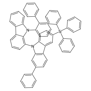 c1ccc(-c2ccc3c4cc([Si](c5ccccc5)(c5ccccc5)c5ccccc5)ccc4n(-c4cccc5c6ccccc6n(-c6ccccc6-c6ccccc6)c45)c3c2)cc1